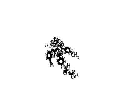 COc1ccc(C(NC(=O)C(Cc2cccc(C#N)c2)NC(=O)c2ccc(OCC(=O)NCC(=O)O)cc2)C(=O)NC(C(=O)C(F)(F)F)C(C)C)cc1